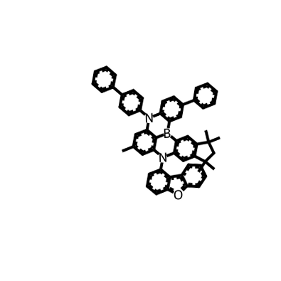 Cc1cc2c3c(c1)N(c1cccc4oc5ccccc5c14)c1cc4c(cc1B3c1cc(-c3ccccc3)ccc1N2c1ccc(-c2ccccc2)cc1)C(C)(C)CC4(C)C